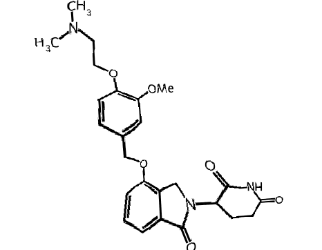 COc1cc(COc2cccc3c2CN(C2CCC(=O)NC2=O)C3=O)ccc1OCCN(C)C